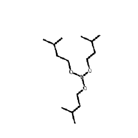 CC(C)CCOB(OCCC(C)C)OCCC(C)C